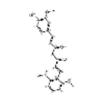 COc1cc(C=CC(=O)CC(=O)C=Cc2c(OC)cccc2OC)ccc1O